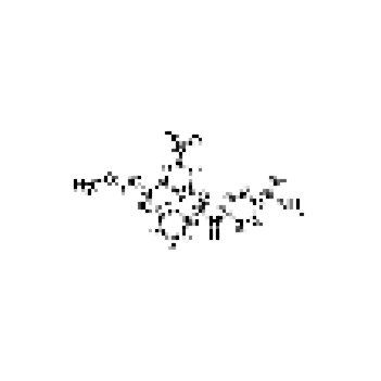 COCOC(=O)c1cc([N+](=O)[O-])ccc1-c1ccccc1C(=O)Nc1ccc(C(=N)N)cc1